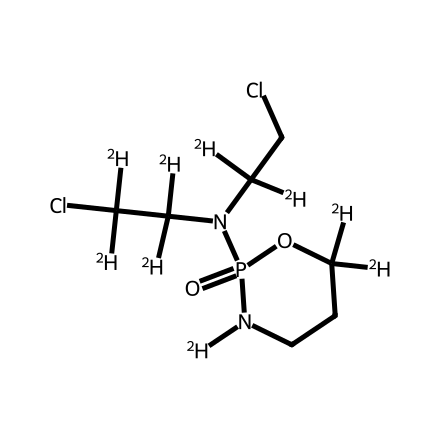 [2H]N1CCC([2H])([2H])OP1(=O)N(C([2H])([2H])CCl)C([2H])([2H])C([2H])([2H])Cl